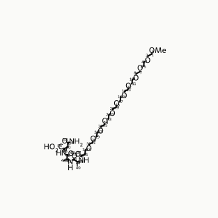 COCCOCCOCCOCCOCCOCCOCCOCCOCCOCCOCCOCCC(=O)N[C@@H](C)C(=O)N[C@@H](C)C(=O)N[C@@H](CC(N)=O)C(=O)O